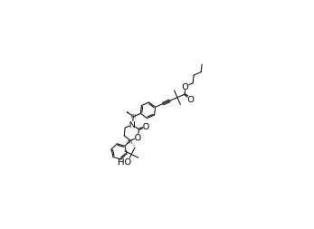 CCCCOC(=O)C(C)(C)C#Cc1ccc([C@H](C)N2CC[C@](CC(C)(C)O)(c3ccccc3)OC2=O)cc1